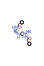 C=N/N=C(\SNC(=O)Cc1ccccc1)N1CCC(Nc2nnc(NC(=O)Cc3ccccc3)s2)CC1